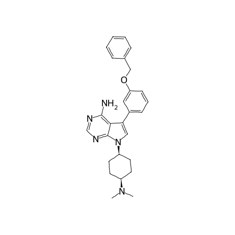 CN(C)[C@H]1CC[C@@H](n2cc(-c3cccc(OCc4ccccc4)c3)c3c(N)ncnc32)CC1